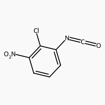 O=C=Nc1cccc([N+](=O)[O-])c1Cl